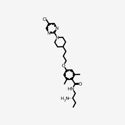 CC[C@H](N)CNC(=O)c1c(C)cc(OCCCC2CCN(c3ncc(Cl)cn3)CC2)cc1C